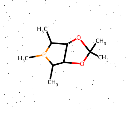 CC1C2OC(C)(C)OC2C(C)P1C